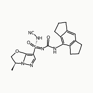 C[C@H]1COc2c([S@@](=O)(=NC(=O)Nc3c4c(cc5c3CCC5)CCC4)NC#N)cnn21